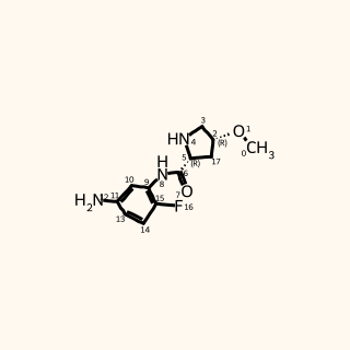 CO[C@H]1CN[C@@H](C(=O)Nc2cc(N)ccc2F)C1